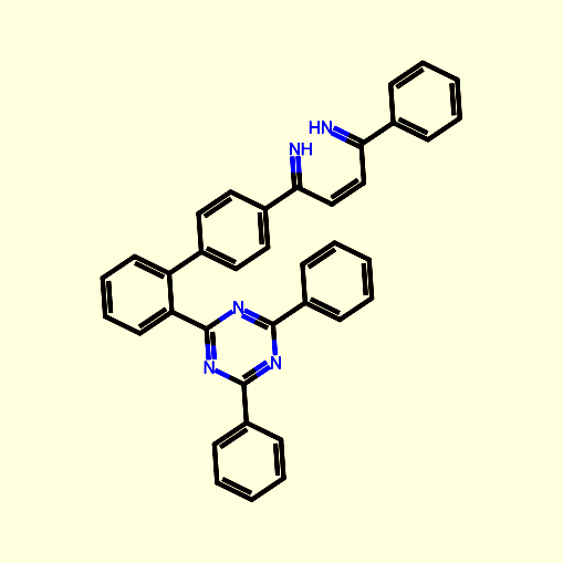 N=C(/C=C\C(=N)c1ccc(-c2ccccc2-c2nc(-c3ccccc3)nc(-c3ccccc3)n2)cc1)c1ccccc1